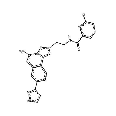 Nc1nc2cc(-c3cc[nH]n3)ccc2c2cn(CCNC(=O)c3cccc(Cl)n3)nc12